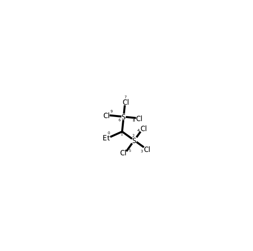 CCC(S(Cl)(Cl)Cl)S(Cl)(Cl)Cl